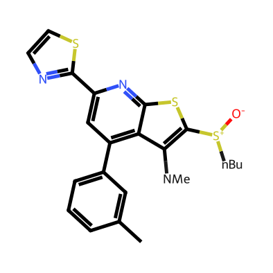 CCCC[S+]([O-])c1sc2nc(-c3nccs3)cc(-c3cccc(C)c3)c2c1NC